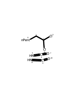 CCCCCCC(Cl)Cl.N=C=O.N=C=O